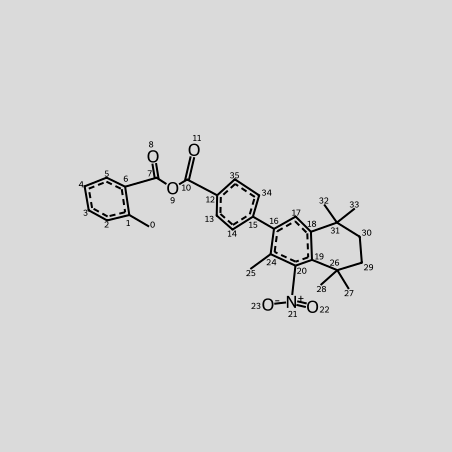 Cc1ccccc1C(=O)OC(=O)c1ccc(-c2cc3c(c([N+](=O)[O-])c2C)C(C)(C)CCC3(C)C)cc1